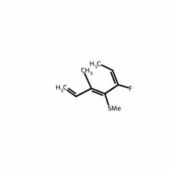 C=C/C(C)=C(SC)/C(F)=C\C